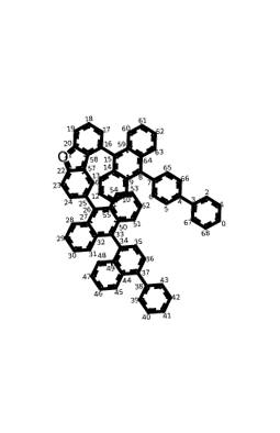 c1ccc(-c2ccc(-c3c4ccccc4c(-c4cccc5oc6ccc(-c7c8ccccc8c(-c8ccc(-c9ccccc9)c9ccccc89)c8ccccc78)cc6c45)c4ccccc34)cc2)cc1